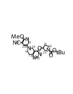 COc1ncc(N2CCc3ncnc(OC4CCN(C(=O)OC(C)(C)C)C4)c3C2)cc1C#N